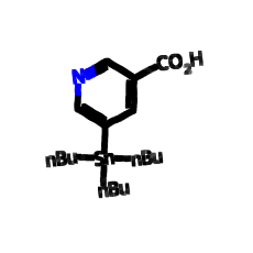 CCC[CH2][Sn]([CH2]CCC)([CH2]CCC)[c]1cncc(C(=O)O)c1